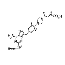 CCC[C@H](C)Nc1nc(N)c2ncc(Cc3cnc(N4CCN(C(=O)CNC(=O)O)CC4)c(C)c3)n2n1